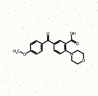 COc1ccc(C(=O)c2ccc(N3CCOCC3)c(C(=O)O)c2)cc1